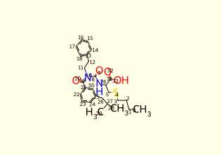 CCCCSCC(NC(=O)N(CCc1ccccc1)C(=O)c1cccc(CC(C)C)c1)C(=O)O